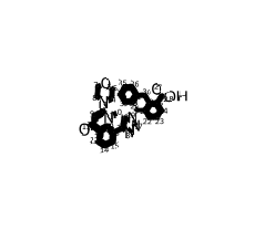 Cn1c(N2CCOCC2)cc(=O)c2cccc(-c3cn(Cc4cccc(C(=O)O)c4Cc4ccccc4)nn3)c21